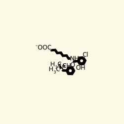 C[N+](C)(C)Cc1ccccc1.O=C([O-])CCCCCCCNC(=O)c1cc(Cl)ccc1O